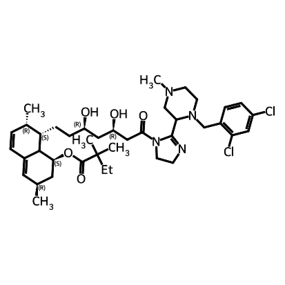 CCC(C)(C)C(=O)O[C@H]1C[C@@H](C)C=C2C=C[C@H](C)[C@H](CC[C@@H](O)C[C@@H](O)CC(=O)N3CCN=C3C3CN(C)CCN3Cc3ccc(Cl)cc3Cl)C21